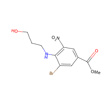 COC(=O)c1cc(Br)c(NCCCO)c([N+](=O)[O-])c1